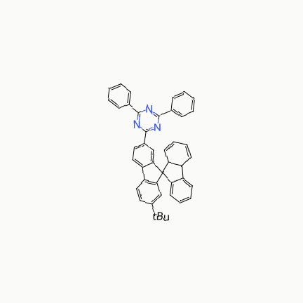 CC(C)(C)c1ccc2c(c1)C1(c3cc(-c4nc(-c5ccccc5)nc(-c5ccccc5)n4)ccc3-2)c2ccccc2C2C=CC=CC21